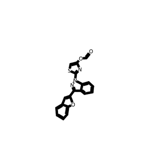 O=COc1csc(-n2nc(-c3cc4ccccc4o3)c3ccccc32)n1